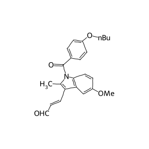 CCCCOc1ccc(C(=O)n2c(C)c(/C=C/C=O)c3cc(OC)ccc32)cc1